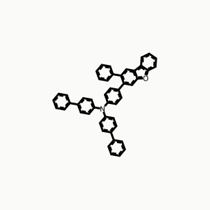 c1ccc(-c2ccc(N(c3ccc(-c4ccccc4)cc3)c3ccc(-c4cc5oc6ccccc6c5cc4-c4ccccc4)cc3)cc2)cc1